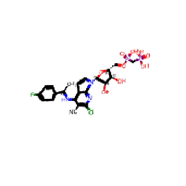 C[C@@H](Nc1c(C#N)c(Cl)nc2c1ccn2[C@@H]1O[C@H](COP(=O)(O)CP(=O)(O)O)[C@@H](O)[C@H]1O)c1ccc(F)cc1